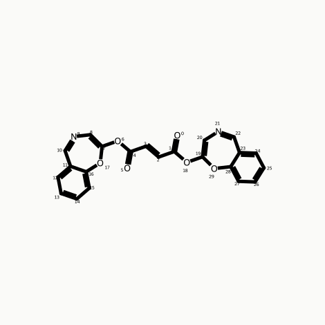 O=C(/C=C/C(=O)OC1=CN=Cc2ccccc2O1)OC1=CN=Cc2ccccc2O1